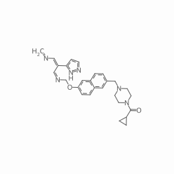 C=N/C=C(\C=N/COc1ccc2cc(CN3CCN(C(=O)C4CC4)CC3)ccc2c1)c1ccn[nH]1